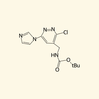 CC(C)(C)OC(=O)NCc1cc(-n2ccnc2)nnc1Cl